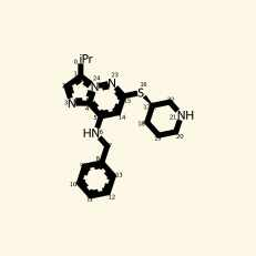 CC(C)c1cnc2c(NCc3ccccc3)cc(S[C@@H]3CCCNC3)nn12